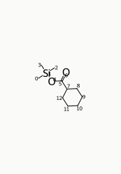 C[Si](C)(C)OC(=O)C1CCCCC1